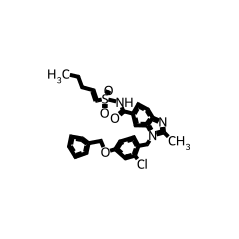 CCC/C=C/S(=O)(=O)NC(=O)c1ccc2nc(C)n(Cc3ccc(OCc4ccccc4)cc3Cl)c2c1